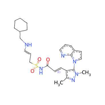 Cc1nn(C)c(-n2ccc3cccnc32)c1/C=C/C(=O)NS(=O)(=O)CC=CNCC1CCCCC1